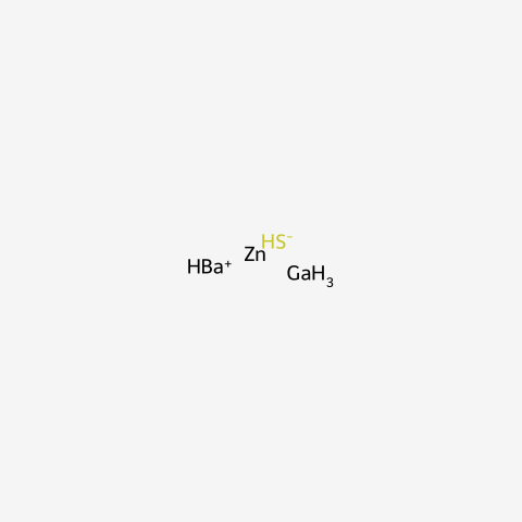 [BaH+].[GaH3].[SH-].[Zn]